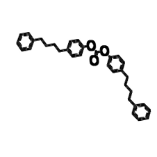 O=C(Oc1ccc(CCCCc2ccccc2)cc1)Oc1ccc(CCCCc2ccccc2)cc1